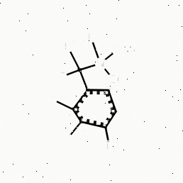 CC[Si](CC)(OC)C(F)(F)c1ccc(F)c(F)c1F